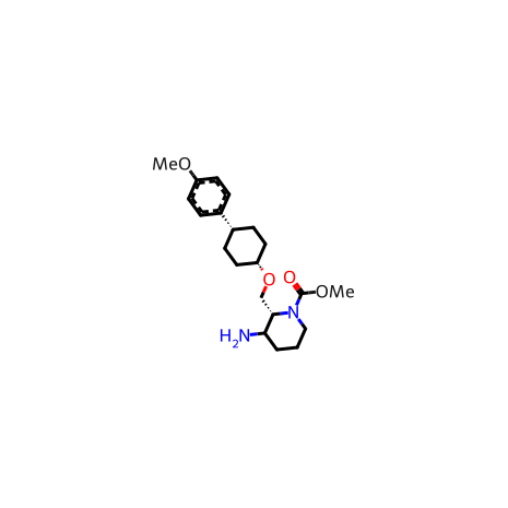 COC(=O)N1CCCC(N)[C@@H]1CO[C@H]1CC[C@@H](c2ccc(OC)cc2)CC1